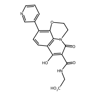 O=C(O)CNC(=O)c1c(O)c2ccc(-c3cccnc3)c3c2n(c1=O)CCO3